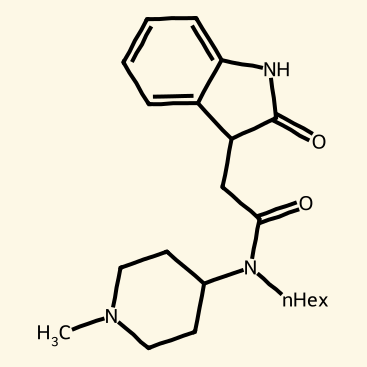 CCCCCCN(C(=O)CC1C(=O)Nc2ccccc21)C1CCN(C)CC1